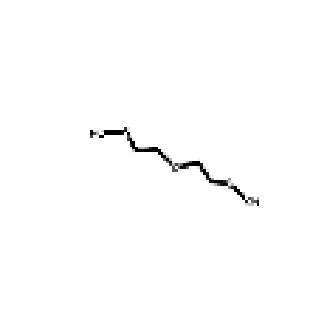 N#CSCCOCCSC#N